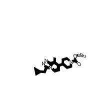 Cc1c(C2=CCN(C(=O)OC(C)(C)C)CC2)ccn2c(CC3CC3)nnc12